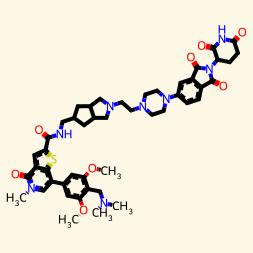 COc1cc(-c2cn(C)c(=O)c3cc(C(=O)NCC4CC5CN(CCN6CCN(c7ccc8c(c7)C(=O)N(C7CCC(=O)NC7=O)C8=O)CC6)CC5C4)sc23)cc(OC)c1CN(C)C